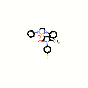 C=C1CC(P2(=O)N(c3ccccc3)CCN2c2ccccc2)C(=O)N1c1ccc(F)cc1